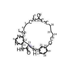 CN1CCCN(C)c2ncnc3c2/C(=C/Nc2cccc(c2)OCCCCCCC1=O)C(=O)N3